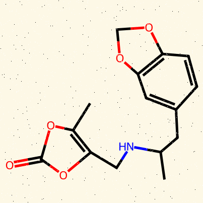 Cc1oc(=O)oc1CNC(C)Cc1ccc2c(c1)OCO2